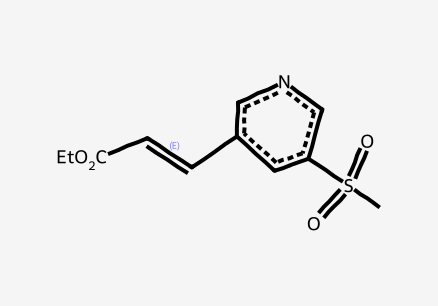 CCOC(=O)/C=C/c1cncc(S(C)(=O)=O)c1